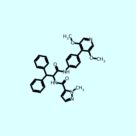 COc1cncc(OC)c1-c1ccc(NC(=O)C(NC(=O)c2ccnn2C)C(c2ccccc2)c2ccccc2)cc1